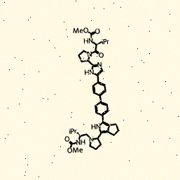 COC(=O)N[C@H](C(=O)N1CCCC1c1ncc(-c2ccc(-c3ccc(-c4[nH]c(C5CCCN5C[C@@H](NC(=O)OC)C(C)C)c5c4CCC5)cc3)cc2)[nH]1)C(C)C